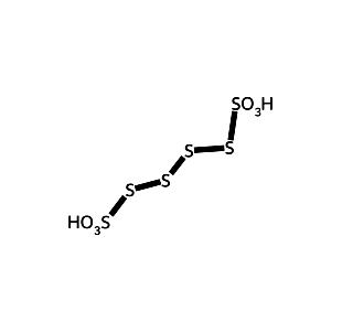 O=S(=O)(O)SSSSS(=O)(=O)O